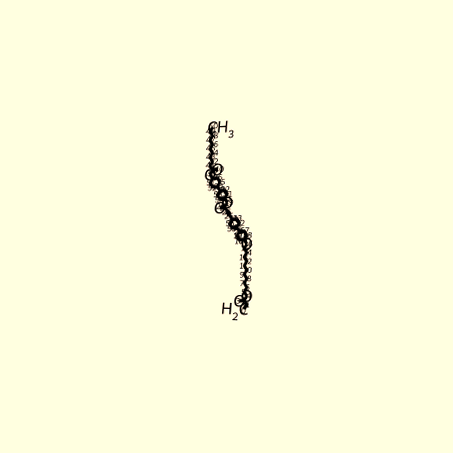 C=CC(=O)OCCCCCCCCCCCOc1ccc(-c2ccc(C#CC(=O)Oc3ccc(C4CCC(OC(=O)CCCCCCCCCC)CC4)cc3)cc2)cc1